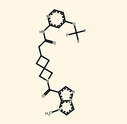 Cn1ccn2ncc(C(=O)N3CC4(CC(CC(=O)Nc5cc(OC(F)(F)F)ccn5)C4)C3)c12